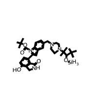 CC(C)(C)OC(=O)n1c(-c2ccc(O)c3c2C(=O)NC3)cc2cc(CN3CCN(C(C)(C)C(O[SiH3])C(C)(C)C)CC3)ccc21